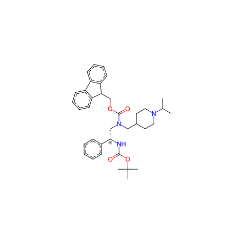 CC(C)N1CCC(CN(C[C@H](NC(=O)OC(C)(C)C)c2ccccc2)C(=O)OCC2c3ccccc3-c3ccccc32)CC1